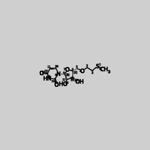 CSCCOC[C@H]1O[C@@H](n2ccc(=O)[nH]c2=O)C(O)[C@H]1O